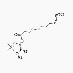 CCCCCCCC/C=C\CCCCCCCC(=O)O/C(C[N+](C)(C)C)=[P+](\[O-])OCC